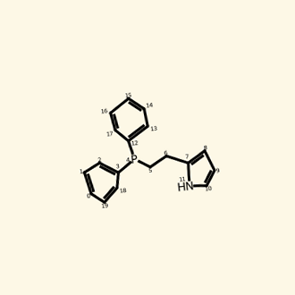 c1ccc(P(CCc2ccc[nH]2)c2ccccc2)cc1